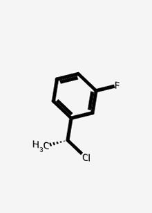 C[C@@H](Cl)c1cccc(F)c1